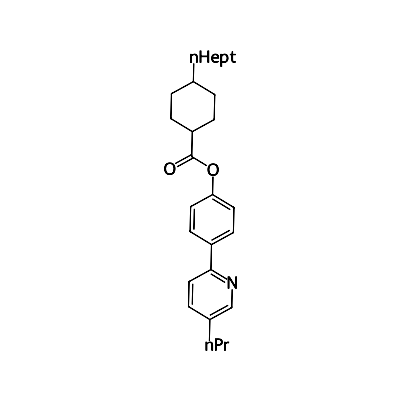 CCCCCCCC1CCC(C(=O)Oc2ccc(-c3ccc(CCC)cn3)cc2)CC1